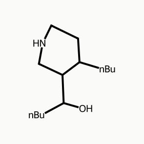 CCCCC(O)C1CNCCC1CCCC